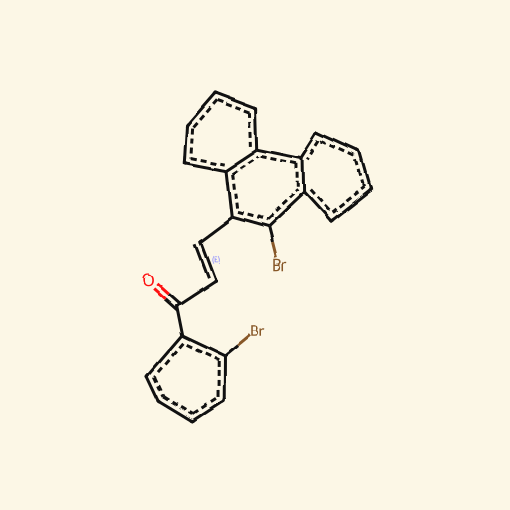 O=C(/C=C/c1c(Br)c2ccccc2c2ccccc12)c1ccccc1Br